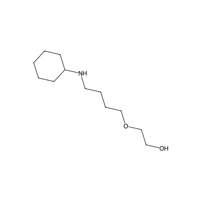 OCCOCCCCNC1CCCCC1